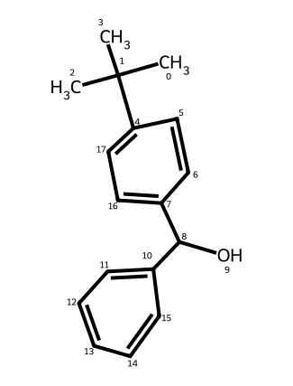 CC(C)(C)c1ccc(C(O)c2ccccc2)cc1